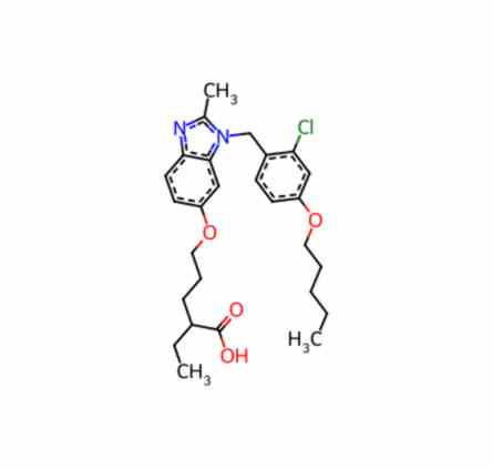 CCCCCOc1ccc(Cn2c(C)nc3ccc(OCCCC(CC)C(=O)O)cc32)c(Cl)c1